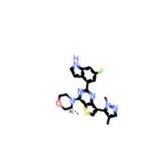 Cc1cnn(C)c1-c1csc2c(N3CCOC[C@H]3C)nc(-c3cc(F)cc4[nH]ccc34)nc12